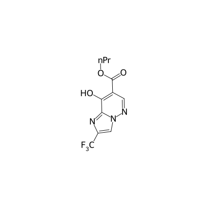 CCCOC(=O)c1cnn2cc(C(F)(F)F)nc2c1O